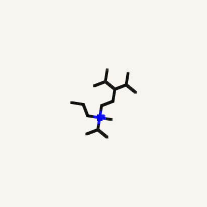 CCC[N+](C)(CCC(C(C)C)C(C)C)C(C)C